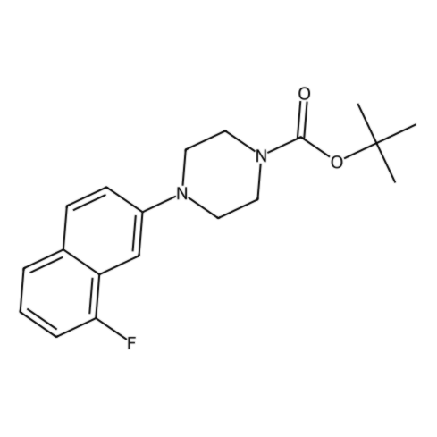 CC(C)(C)OC(=O)N1CCN(c2ccc3cccc(F)c3c2)CC1